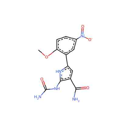 COc1ccc([N+](=O)[O-])cc1-c1cc(C(N)=O)c(NC(N)=O)[nH]1